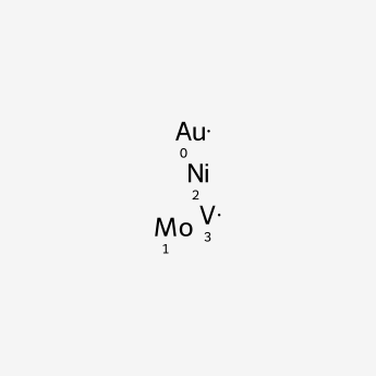 [Au].[Mo].[Ni].[V]